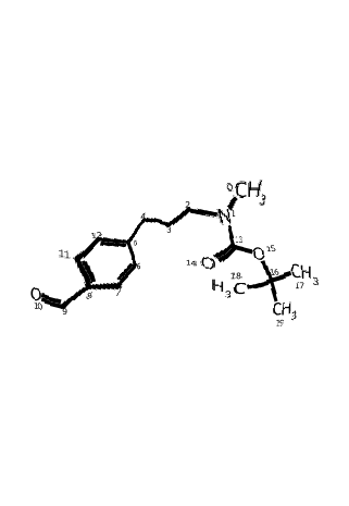 CN(CCCc1ccc(C=O)cc1)C(=O)OC(C)(C)C